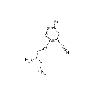 CCC(C)COc1ccc(Br)cc1C#N